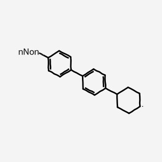 CCCCCCCCCc1ccc(-c2ccc(C3CC[CH]CC3)cc2)cc1